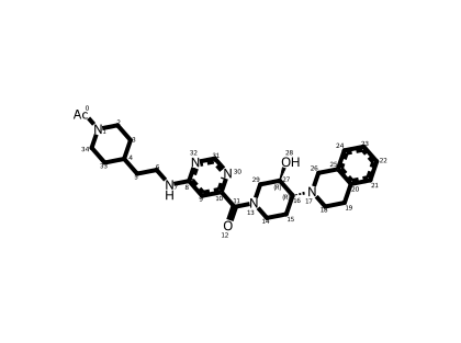 CC(=O)N1CCC(CCNc2cc(C(=O)N3CC[C@@H](N4CCc5ccccc5C4)[C@H](O)C3)ncn2)CC1